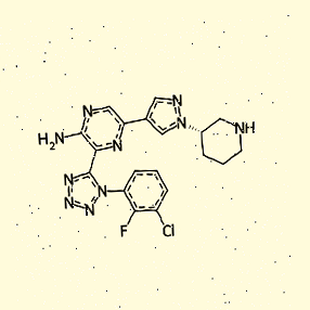 Nc1ncc(-c2cnn([C@H]3CCCNC3)c2)nc1-c1nnnn1-c1cccc(Cl)c1F